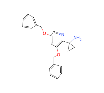 NC1(c2ncc(OCc3ccccc3)cc2OCc2ccccc2)CC1